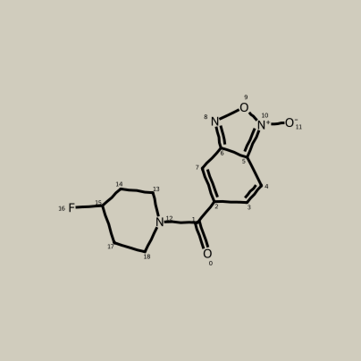 O=C(c1ccc2c(c1)no[n+]2[O-])N1CCC(F)CC1